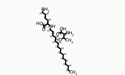 CC(O)C(N)C(=O)O.CCCCCCCCCCCCCCCCNC(CCCCN)C(=O)O